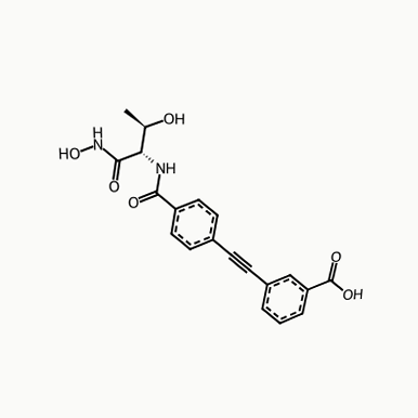 C[C@@H](O)[C@H](NC(=O)c1ccc(C#Cc2cccc(C(=O)O)c2)cc1)C(=O)NO